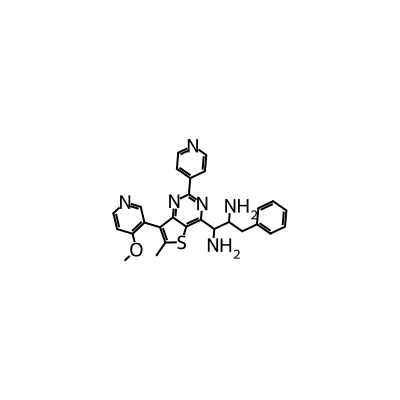 COc1ccncc1-c1c(C)sc2c(C(N)C(N)Cc3ccccc3)nc(-c3ccncc3)nc12